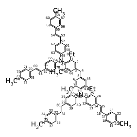 CCc1cc(Cc2cc(C)c(N(c3ccc(/C=C/c4ccc(C)cc4)cc3)c3ccc(/C=C/c4ccc(C)cc4)cc3)c(CC)c2)cc(C)c1N(c1ccc(/C=C/c2ccc(C)cc2)cc1)c1ccc(/C=C/c2ccc(C)cc2)cc1